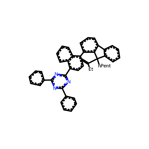 C=C(CC)C1(CCCCC)c2ccccc2-c2cccc(-c3ccc(-c4nc(-c5ccccc5)nc(-c5ccccc5)n4)c4ccccc34)c21